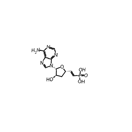 Nc1ncnc2c1ncn2[C@@H]1O[C@H](/C=C/P(=O)(O)O)C[C@H]1O